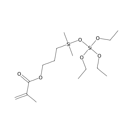 C=C(C)C(=O)OCCC[Si](C)(C)O[Si](OCC)(OCC)OCC